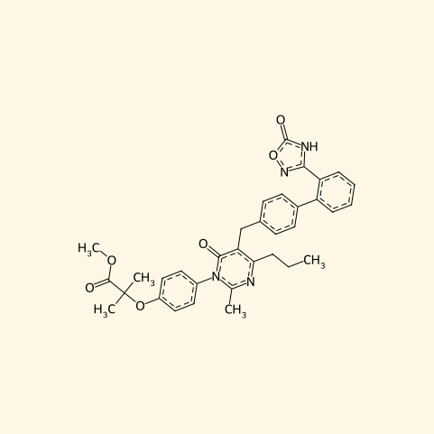 CCCc1nc(C)n(-c2ccc(OC(C)(C)C(=O)OC)cc2)c(=O)c1Cc1ccc(-c2ccccc2-c2noc(=O)[nH]2)cc1